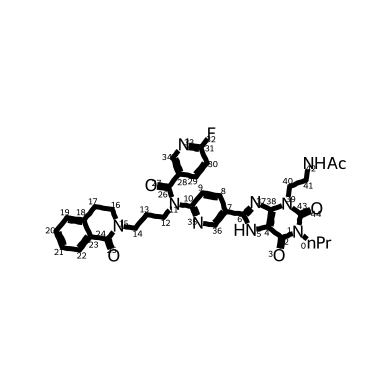 CCCn1c(=O)c2[nH]c(-c3ccc(N(CCCN4CCc5ccccc5C4=O)C(=O)c4ccc(F)nc4)nc3)nc2n(CCNC(C)=O)c1=O